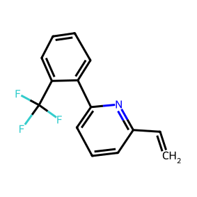 C=Cc1cccc(-c2ccccc2C(F)(F)F)n1